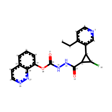 CCc1ccncc1C1C(F)C1C(=O)NNC(=O)Oc1cccc2ccnnc12